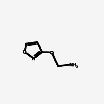 NCOc1ccon1